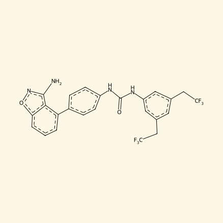 Nc1noc2cccc(-c3ccc(NC(=O)Nc4cc(CC(F)(F)F)cc(CC(F)(F)F)c4)cc3)c12